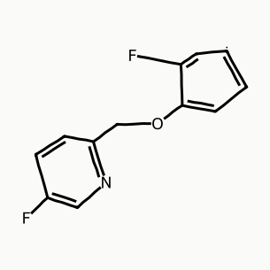 Fc1ccc(COc2cc[c]cc2F)nc1